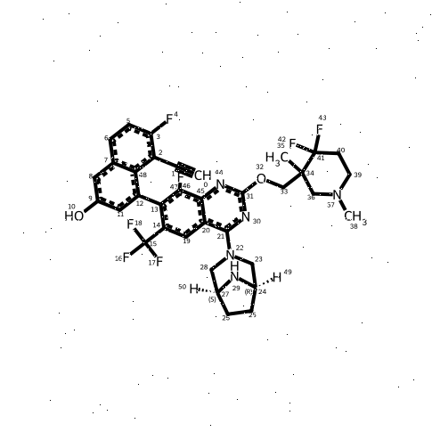 C#Cc1c(F)ccc2cc(O)cc(-c3c(C(F)(F)F)cc4c(N5C[C@H]6CC[C@@H](C5)N6)nc(OCC5(C)CN(C)CCC5(F)F)nc4c3F)c12